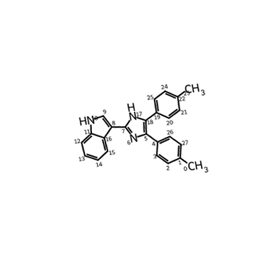 Cc1ccc(-c2nc(-c3c[nH]c4ccccc34)[nH]c2-c2ccc(C)cc2)cc1